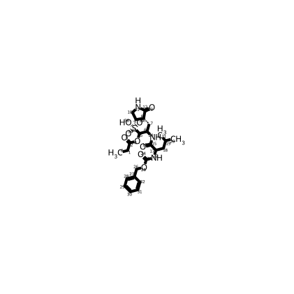 CCC(=O)OC(C(C[C@@H]1CCNC1=O)NC(=O)C(CC(C)C)NC(=O)OCc1ccccc1)S(=O)(=O)O